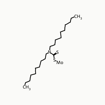 CCCCCCCCCCN(CCCCCCCCCC)C(=S)[S][Mo]